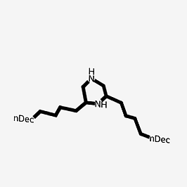 CCCCCCCCCCCCCCC1CNCC(CCCCCCCCCCCCCC)N1